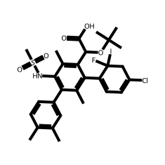 Cc1ccc(-c2c(C)c(C3=CC=C(Cl)CC3(F)I)c(C(OC(C)(C)C)C(=O)O)c(C)c2NS(C)(=O)=O)cc1C